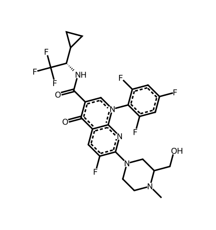 CN1CCN(c2nc3c(cc2F)c(=O)c(C(=O)N[C@@H](C2CC2)C(F)(F)F)cn3-c2c(F)cc(F)cc2F)CC1CO